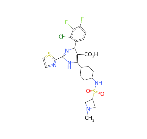 CN1CC(S(=O)(=O)NC2CCC(C3=C(C(=O)O)C(c4ccc(F)c(F)c4Cl)N=C(c4nccs4)N3)CC2)C1